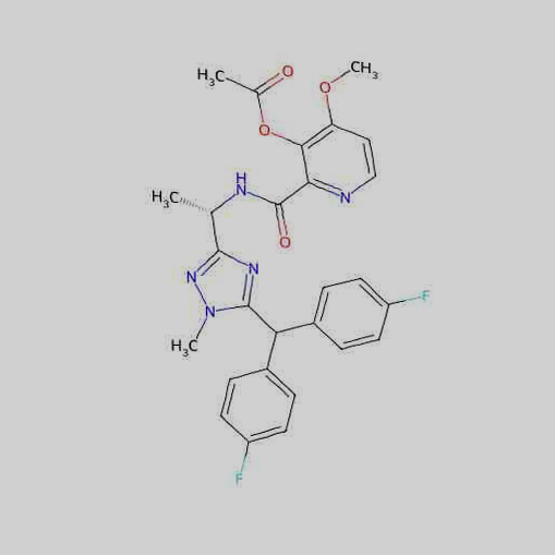 COc1ccnc(C(=O)N[C@@H](C)c2nc(C(c3ccc(F)cc3)c3ccc(F)cc3)n(C)n2)c1OC(C)=O